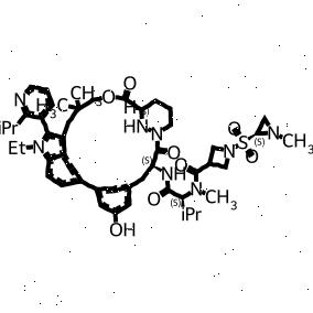 CCn1c(-c2cccnc2C(C)C)c2c3cc(ccc31)-c1cc(O)cc(c1)C[C@H](NC(=O)[C@H](C(C)C)N(C)C(=O)C1CN(S(=O)(=O)[C@H]3CN3C)C1)C(=O)N1CCC[C@H](N1)C(=O)OCC(C)(C)C2